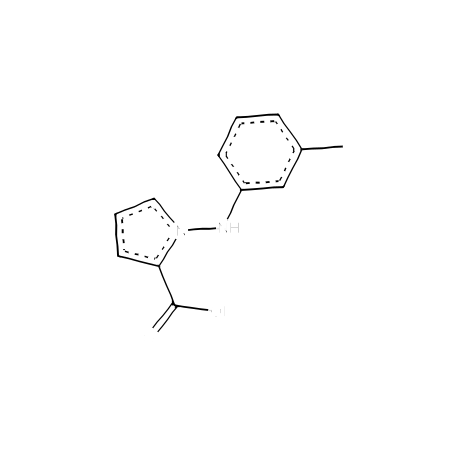 Cc1cccc(Nn2cccc2C(=O)O)c1